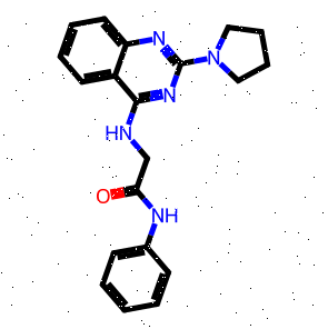 O=C(CNc1nc(N2CCCC2)nc2ccccc12)Nc1ccccc1